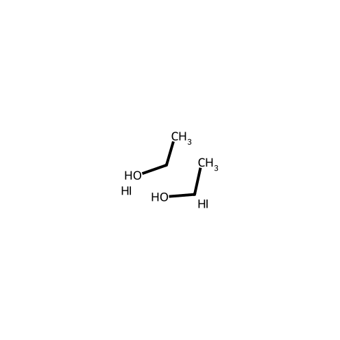 CCO.CCO.I.I